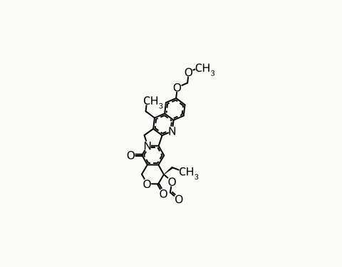 CCc1c2c(nc3ccc(OCOC)cc13)-c1cc3c(c(=O)n1C2)COC(=O)[C@@]3(CC)OC=O